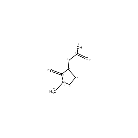 CN1CCC(CC(=O)O)C1=O